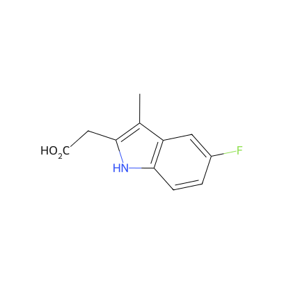 Cc1c(CC(=O)O)[nH]c2ccc(F)cc12